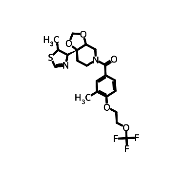 Cc1cc(C(=O)N2CC[C@]3(C4N=CSC4C)OCOC3C2)ccc1OCCOC(F)(F)F